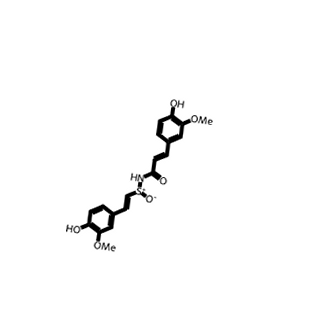 COc1cc(C=CC(=O)N[S+]([O-])C=Cc2ccc(O)c(OC)c2)ccc1O